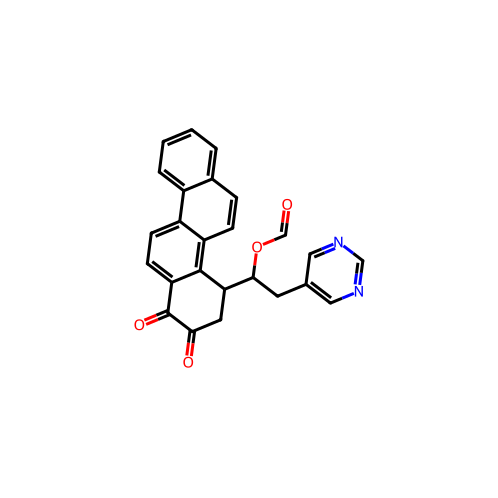 O=COC(Cc1cncnc1)C1CC(=O)C(=O)c2ccc3c(ccc4ccccc43)c21